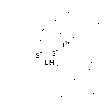 [LiH].[S-2].[S-2].[Ti+4]